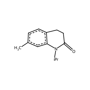 Cc1ccc2c(c1)N(C(C)C)C(=O)CC2